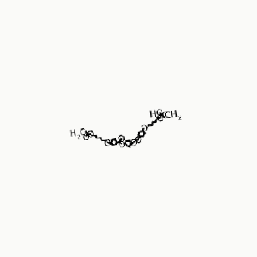 C=C=C(O)OCCCCCCOc1ccc(OCOc2ccc(OC(=O)c3ccc(OCCCCCCOC(=O)C=C)cc3)cc2)cc1